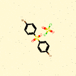 O=S(=O)(Cl)Cl.O=S(=O)(c1ccc(Br)cc1)c1ccc(Br)cc1